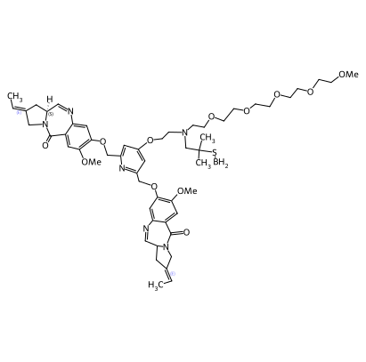 BSC(C)(C)CN(CCOCCOCCOCCOCCOC)CCOc1cc(COc2cc3c(cc2OC)C(=O)N2C/C(=C/C)CC2C=N3)nc(COc2cc3c(cc2OC)C(=O)N2C/C(=C/C)C[C@H]2C=N3)c1